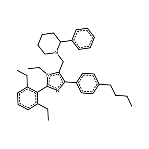 CCCCc1ccc(-c2nc(-c3c(CC)cccc3CC)n(CC)c2CN2CCCCC2c2ccccc2)cc1